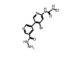 CCNC(=O)Nc1cc(Br)c(-c2cncc(C(=O)NN)c2)cn1